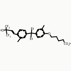 CCC(CC)(c1ccc(/C=C/C(O)(C(F)(F)F)C(F)(F)F)c(C)c1)c1ccc(OCCCCC(=O)O)c(C)c1